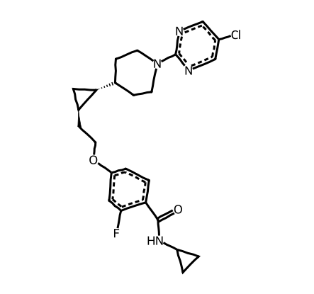 O=C(NC1CC1)c1ccc(OCC[C@H]2C[C@@H]2C2CCN(c3ncc(Cl)cn3)CC2)cc1F